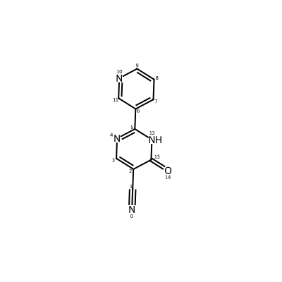 N#Cc1cnc(-c2cccnc2)[nH]c1=O